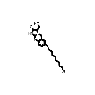 O=C1NC2=Nc3ccc(OCCCCCCCCO)cc3CN2C1CO